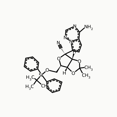 CC1(C)O[C@H]2[C@@H](O1)[C@](C#N)(c1ccc3c(N)ncnn13)O[C@@H]2CO[Si](c1ccccc1)(c1ccccc1)C(C)(C)C